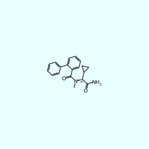 CN(C(=O)c1ccccc1-c1ccccc1)[C@H](C(N)=O)C1CC1